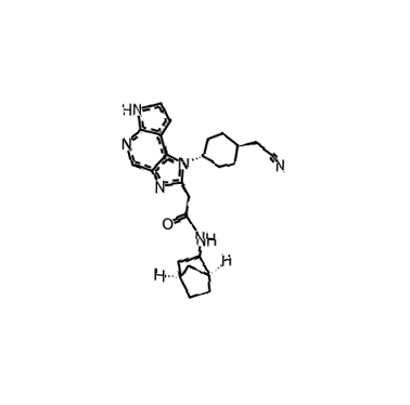 N#CC[C@H]1CC[C@H](n2c(CC(=O)NC3C[C@@H]4CC[C@H]3C4)nc3cnc4[nH]ccc4c32)CC1